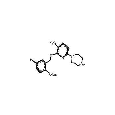 COc1ccc(F)cc1COc1nc(N2CCNCC2)ccc1C(F)(F)F